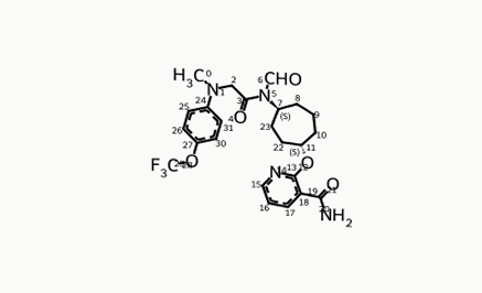 CN(CC(=O)N(C=O)[C@H]1CCC[C@H](Oc2ncccc2C(N)=O)CC1)c1ccc(OC(F)(F)F)cc1